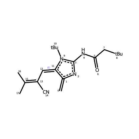 C=c1nc(NC(=O)CC(C)(C)C)n(C(C)(C)C)/c1=C/C(C#N)=C(C)C